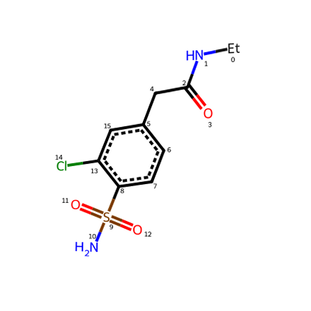 CCNC(=O)Cc1ccc(S(N)(=O)=O)c(Cl)c1